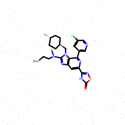 CCN(CCOC)c1nc2cc(-c3noc(=O)[nH]3)nc(-c3cncc(Cl)c3)c2n1C[C@H]1CC[C@H](C)CC1